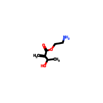 C=C(C(=O)OCCN)C(C)O